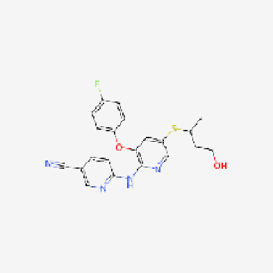 CC(CCO)Sc1cnc(Nc2ccc(C#N)cn2)c(Oc2ccc(F)cc2)c1